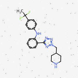 CC(F)(F)c1ccc(Nc2ccccc2-c2nnn(CC3CCNCC3)n2)cc1